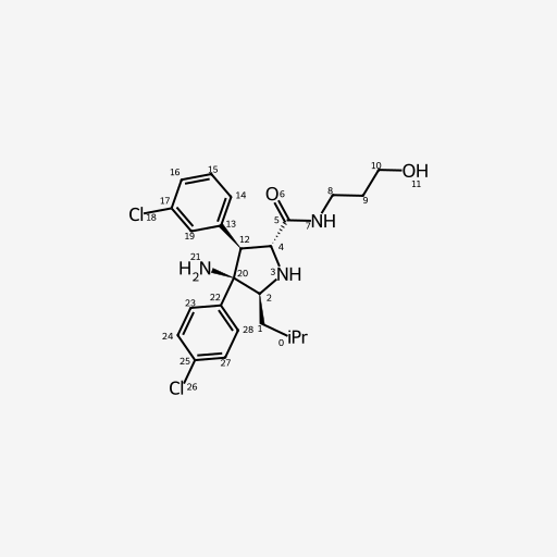 CC(C)C[C@@H]1N[C@@H](C(=O)NCCCO)[C@H](c2cccc(Cl)c2)[C@@]1(N)c1ccc(Cl)cc1